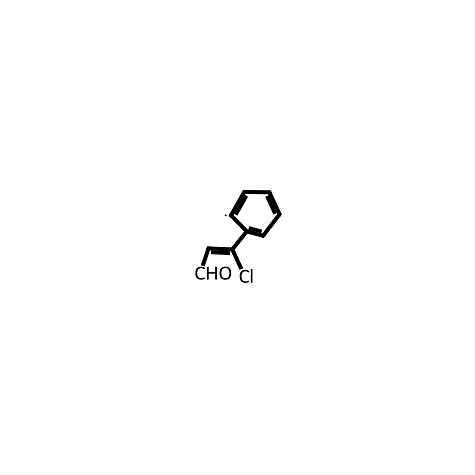 O=CC=C(Cl)c1[c]cccc1